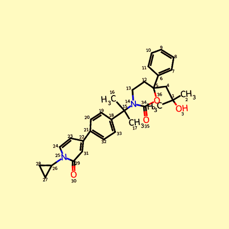 CC(C)(O)CC1(c2ccccc2)CCN(C(C)(C)c2ccc(-c3ccn(C4CC4)c(=O)c3)cc2)C(=O)O1